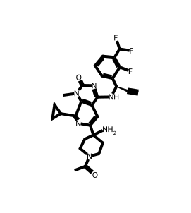 C#C[C@@H](Nc1nc(=O)n(C)c2c(C3CC3)nc(C3(N)CCN(C(C)=O)CC3)cc12)c1cccc(C(F)F)c1F